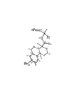 CCCCCC(C)(CC)OC(=O)C1(C)CCCC2(C)c3ccc(C(C)C)cc3CCC12